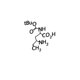 C=CC(N)CC(NC(=O)OC(C)(C)C)C(=O)O